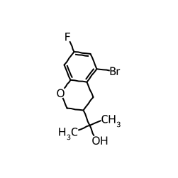 CC(C)(O)C1COc2cc(F)cc(Br)c2C1